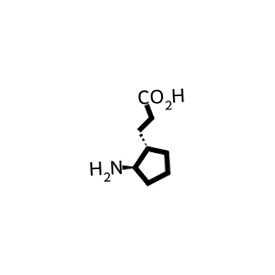 N[C@@H]1CCC[C@H]1CCC(=O)O